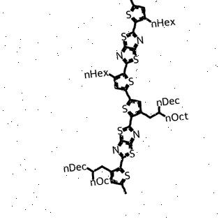 CCCCCCCCCCC(CCCCCCCC)Cc1cc(C)sc1-c1nc2sc(-c3sc(-c4cc(CCCCCC)c(-c5nc6sc(-c7sc(C)cc7CCCCCC)nc6s5)s4)cc3CC(CCCCCCCC)CCCCCCCCCC)nc2s1